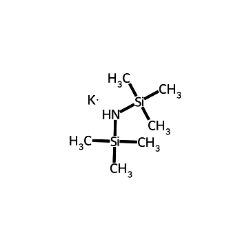 C[Si](C)(C)N[Si](C)(C)C.[K]